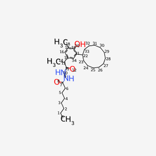 CCCCCCCC(=O)NNC(=O)C(C)c1cc(C)c(O)c(C2CCCCCCCCCCC2)c1